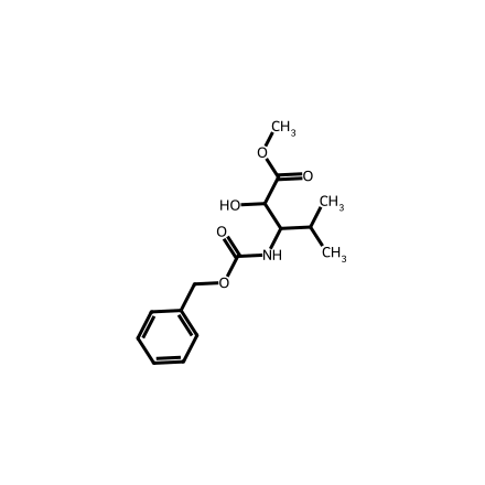 COC(=O)C(O)C(NC(=O)OCc1ccccc1)C(C)C